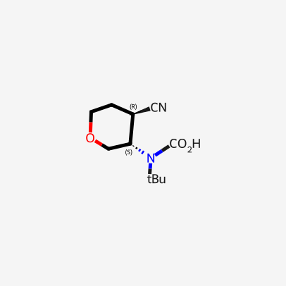 CC(C)(C)N(C(=O)O)[C@@H]1COCC[C@H]1C#N